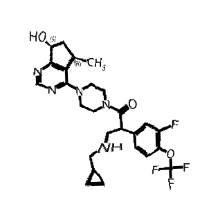 C[C@@H]1C[C@H](O)c2ncnc(N3CCN(C(=O)C(CNCC4CC4)c4ccc(OC(F)(F)F)c(F)c4)CC3)c21